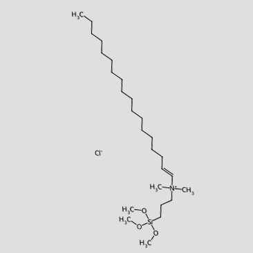 CCCCCCCCCCCCCCCCC=C[N+](C)(C)CCC[Si](OC)(OC)OC.[Cl-]